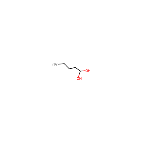 CCCCCCC(O)O